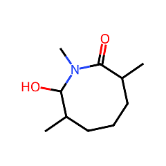 CC1CCCC(C)C(O)N(C)C1=O